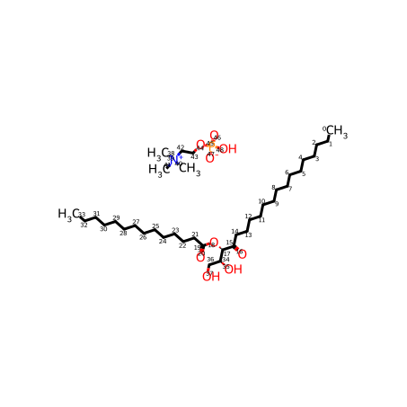 CCCCCCCCCCCCCCCC(=O)[C@@H](OC(=O)CCCCCCCCCCCCC)[C@@H](O)CO.C[N+](C)(C)CCOP(=O)([O-])O